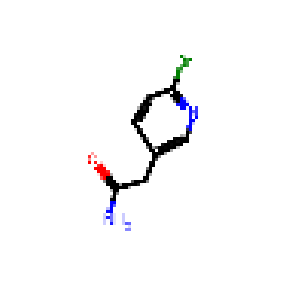 NC(=O)Cc1ccc(Br)nc1